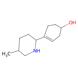 CC1CCC(C2=CCC(O)CC2)NC1